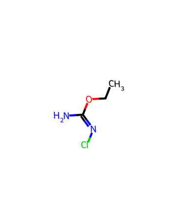 CCOC(N)=NCl